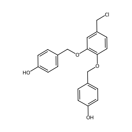 Oc1ccc(COc2ccc(CCl)cc2OCc2ccc(O)cc2)cc1